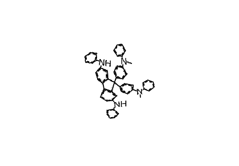 CN(c1ccccc1)c1ccc(C2(c3ccc(N(C)c4ccccc4)cc3)c3cc(Nc4ccccc4)ccc3-c3ccc(Nc4ccccc4)cc32)cc1